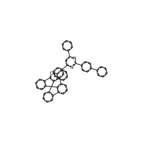 c1ccc(-c2ccc(-c3nc(-c4ccccc4)cc(-c4cccc(-c5cccc6c5C5(c7ccccc7-6)c6ccccc6-c6oc7ccccc7c65)c4)n3)cc2)cc1